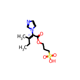 CC/C(C)=C(\C(=O)OCCCS(=O)(=O)O)n1ccnc1